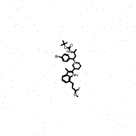 COC(F)CCc1cccc2c(C)c(C3CCCN(C(CC(C)NC(=O)OC(C)(C)C)c4ccc(Br)cc4)C3)[nH]c12